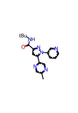 Cc1cnc(-c2cc(C(=O)NC(C)(C)C)nn2-c2cccnc2)cn1